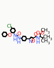 COC(=O)C(NC(=O)c1cc(-c2ccc(NC(=O)Nc3ccc(Cl)cc3Oc3ccccc3)cc2)no1)C(C)C